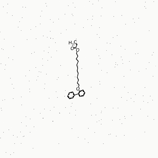 C=CC(=O)OCCCCCCCCCCCCOc1ccccc1-c1ccccc1